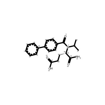 CC(C)N(C(=O)c1ccc(-c2ccccc2)cc1)[C@@H](CCC(=O)O)C(N)=O